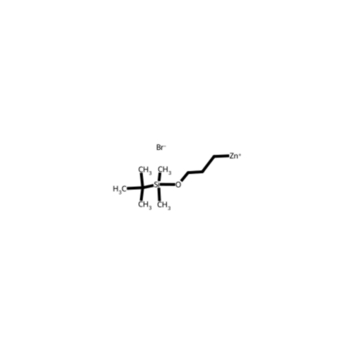 CC(C)(C)[Si](C)(C)OCC[CH2][Zn+].[Br-]